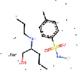 CCCNC(CO)CCC.Cc1ccc(S(=O)(=O)[N-]Cl)cc1.[Na+]